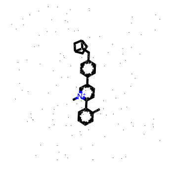 Cc1ccccc1-c1ccc(-c2ccc(CC3C4CCC3C4)cc2)c[n+]1C